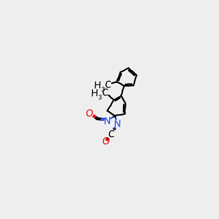 CC1=C(c2ccccc2C)C=CC(N=C=O)(N=C=O)C1